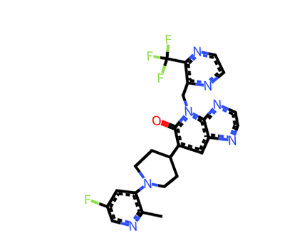 Cc1ncc(F)cc1N1CCC(c2cc3nccnc3n(Cc3nccnc3C(F)(F)F)c2=O)CC1